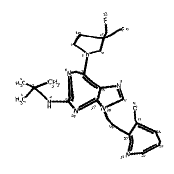 CC(C)(C)Nc1nc(N2CCC(F)(F)C2)c2ncn(Cc3ncccc3Cl)c2n1